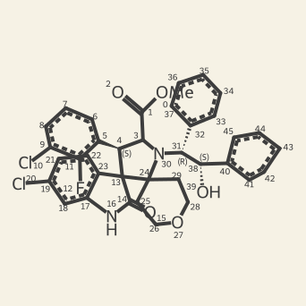 COC(=O)C1[C@H](c2cccc(Cl)c2F)C2(C(=O)Nc3cc(Cl)ccc32)C2(CCOCC2)N1[C@H](c1ccccc1)[C@@H](O)c1ccccc1